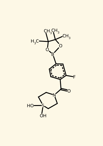 CC1(C)OB(c2ccc(C(=O)N3CCS(O)(O)CC3)c(F)c2)OC1(C)C